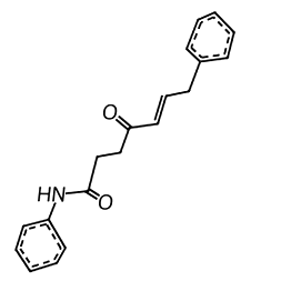 O=C(/C=C/Cc1ccccc1)CCC(=O)Nc1ccccc1